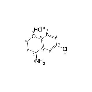 Cl.N[C@H]1CCOc2ncc(Cl)cc21